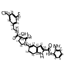 Nc1ccccc1NC(=O)c1cc2cc(N3CC[C@@](O)(C(=O)NCc4cc(F)cc(Cl)c4)C3=O)ccc2[nH]1